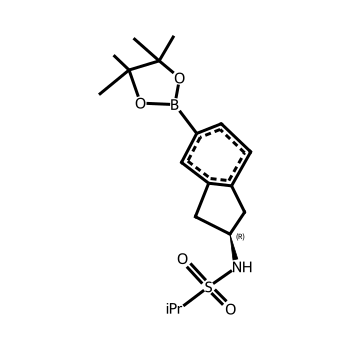 CC(C)S(=O)(=O)N[C@@H]1Cc2ccc(B3OC(C)(C)C(C)(C)O3)cc2C1